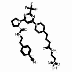 N#Cc1ccc(CCNC(=O)[C@@H]2CCCN2c2cc(N3CCC(CCCC(=O)NCCS(=O)(=O)O)CC3)nc(C(F)(F)F)n2)cc1